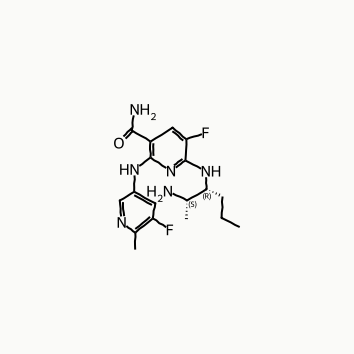 CCC[C@@H](Nc1nc(Nc2cnc(C)c(F)c2)c(C(N)=O)cc1F)[C@H](C)N